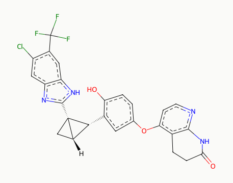 O=C1CCc2c(Oc3ccc(O)c([C@@H]4[C@@H]5C[C@@]45c4nc5cc(Cl)c(C(F)(F)F)cc5[nH]4)c3)ccnc2N1